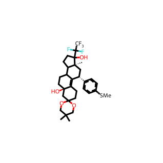 CSc1ccc([C@H]2C[C@@]3(C)C(CCC3(O)C(F)(F)C(F)(F)F)C3CC[C@@]4(O)CC5(CCC4=C32)OCC(C)(C)CO5)cc1